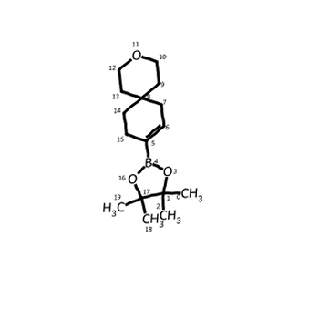 CC1(C)OB(C2=CCC3(CCOCC3)CC2)OC1(C)C